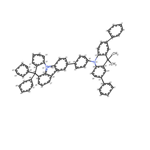 CC1(C)c2cc(-c3ccccc3)ccc2N(c2ccc(-c3ccc4c(c3)c3cccc5c3n4-c3ccccc3C5(c3ccccc3)c3ccccc3)cc2)c2ccc(-c3ccccc3)cc21